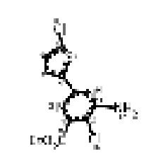 CCOC(=O)c1nc(-c2ccc(Cl)s2)nc(N)c1Cl